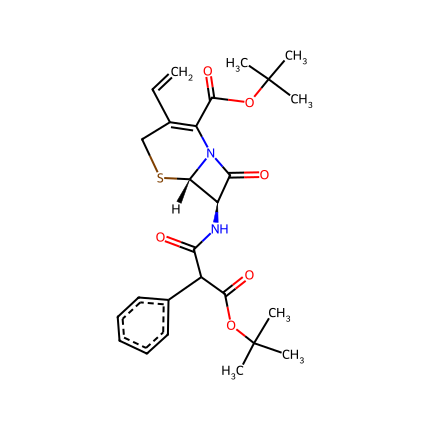 C=CC1=C(C(=O)OC(C)(C)C)N2C(=O)[C@@H](NC(=O)C(C(=O)OC(C)(C)C)c3ccccc3)[C@@H]2SC1